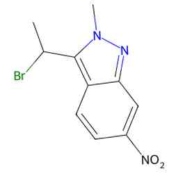 CC(Br)c1c2ccc([N+](=O)[O-])cc2nn1C